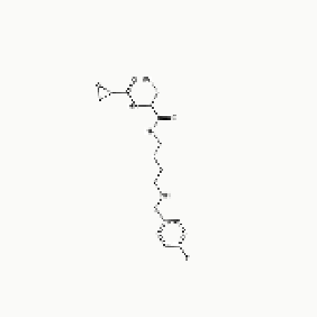 CC(C)CC(NC(=O)C1CO1)C(=O)NCCCCNSc1ccc(F)cc1